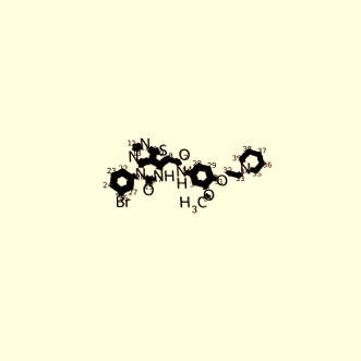 COc1cc(NC(=O)c2sc3ncnc4c3c2NC(=O)N4c2cccc(Br)c2)ccc1OCCN1CCCCC1